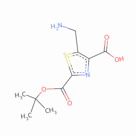 CC(C)(C)OC(=O)c1nc(C(=O)O)c(CN)s1